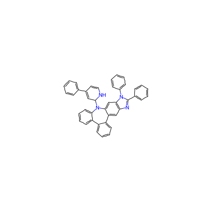 C1=CC(c2ccccc2)=CC(N2c3ccccc3-c3ccccc3-c3cc4nc(-c5ccccc5)n(-c5ccccc5)c4cc32)N1